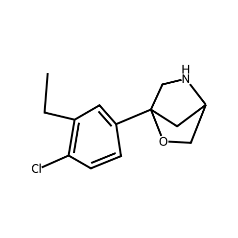 CCc1cc(C23CNC(CO2)C3)ccc1Cl